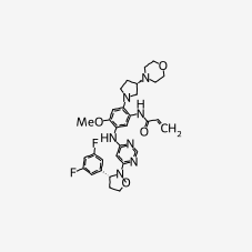 C=CC(=O)Nc1cc(Nc2cc(N3OCC[C@@H]3c3cc(F)cc(F)c3)ncn2)c(OC)cc1N1CC[C@@H](N2CCOCC2)C1